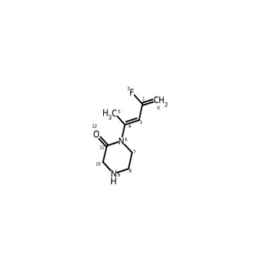 C=C(F)/C=C(\C)N1CCNCC1=O